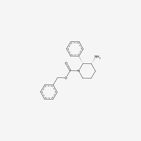 N[C@@H]1CCCN(C(=O)OCc2ccccc2)[C@@H]1c1ccccc1